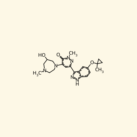 CN1CCN(c2cc(-c3n[nH]c4ccc(OC5(C)CC5)cc34)nn(C)c2=O)CC(O)C1